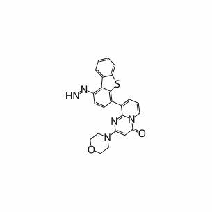 N=Nc1ccc(-c2cccn3c(=O)cc(N4CCOCC4)nc23)c2sc3ccccc3c12